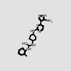 Cc1ccccc1NC(O)NC1CCC(Nc2nccc(-c3cn[nH]c3N)n2)CC1